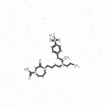 CCCN(CCCCN1CCCN(C(=O)O)CC1=O)[C@@H](C)Cc1ccc(S(C)(=O)=O)cc1